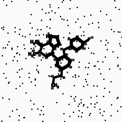 C=C1c2[nH]ccc2C(c2cc(SCC)ccc2Cc2ccc(F)cc2)=CN1C